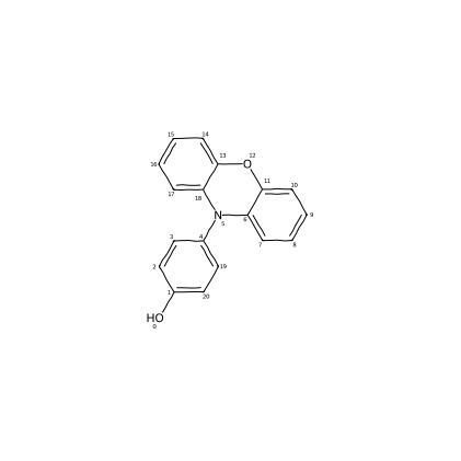 Oc1ccc(N2c3ccccc3Oc3ccccc32)cc1